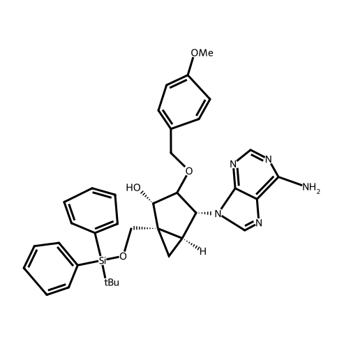 COc1ccc(COC2[C@@H](O)[C@]3(CO[Si](c4ccccc4)(c4ccccc4)C(C)(C)C)C[C@@H]3[C@H]2n2cnc3c(N)ncnc32)cc1